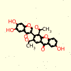 CC(=O)c1cc2c(=O)c3cc(O)ccc3oc2c(C(C)=O)c1-c1coc2cc(O)c(O)cc2c1=O